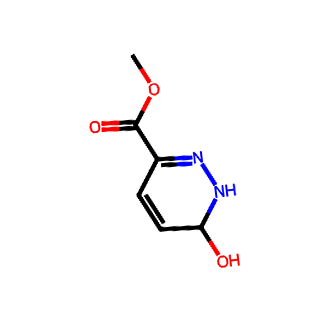 COC(=O)C1=NNC(O)C=C1